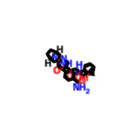 NC(=O)c1ccc(C(=O)N[C@H]2C[C@H]3CC[C@@H](C2)N3c2ccc(C(=O)CC(O)c3ccccc3)cn2)cc1NCC1CC1